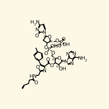 C=CCCC(=O)NCc1nc(C(=O)OC2[C@@H](COP(=O)(O)OC3C[C@H](n4ccc(N)nc4=O)O[C@@H]3COP(=O)(O)O)O[C@@H](n3cnc4c(N)ncnc43)[C@H]2O)c(-c2ccc(C)cc2)o1